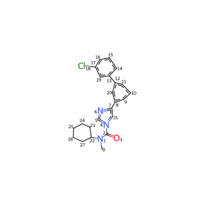 CN(C(=O)n1cnc(-c2cccc(-c3cccc(Cl)c3)c2)c1)C1CCCCC1